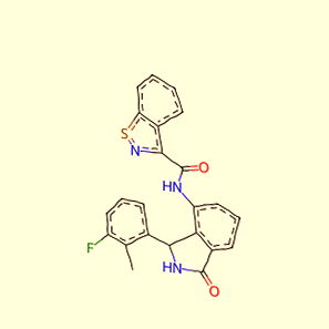 Cc1c(F)cccc1C1NC(=O)c2cccc(NC(=O)c3nsc4ccccc34)c21